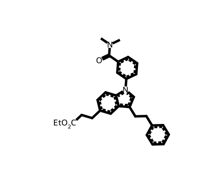 CCOC(=O)CCc1ccc2c(c1)c(CCc1ccccc1)cn2-c1cccc(C(=O)N(C)C)c1